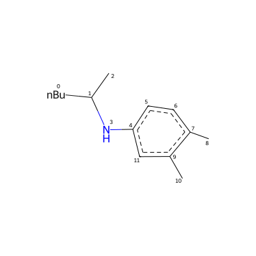 CCCCC(C)Nc1ccc(C)c(C)c1